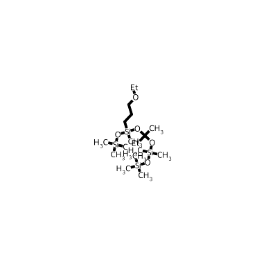 CCOCCC[Si](C)(OC(C)(CC)O[Si](C)(C)O[Si](C)(C)C)O[Si](C)(C)C